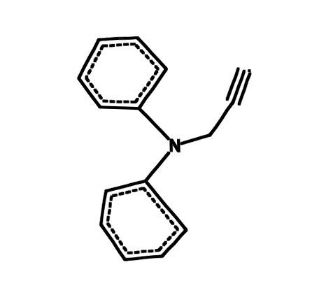 [C]#CCN(c1ccccc1)c1ccccc1